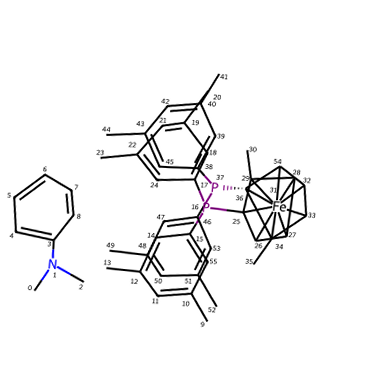 CN(C)c1ccccc1.Cc1cc(C)cc(P(c2cc(C)cc(C)c2)[C]23[CH]4[CH]5[CH]6[C]2(C)[Fe]56432789[CH]3[CH]2[C]7(C)[C@@]8(P(c2cc(C)cc(C)c2)c2cc(C)cc(C)c2)[CH]39)c1